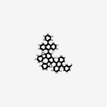 Cc1cccc(-c2c3ccccc3c(-c3cc4cc(-c5c6ccccc6c(-c6ccccc6)c6ccccc56)c5oc6ccccc6c5c4c4c3oc3ccccc34)c3ccccc23)c1